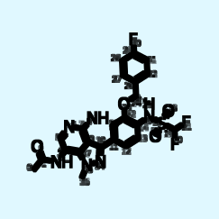 CC(=O)Nc1cnc(N)c2c(-c3ccc(NS(=O)(=O)C(F)F)c(O[C@@H](C)c4ccc(F)cc4)c3)nn(C)c12